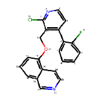 Fc1ccccc1-c1ccnc(Cl)c1COc1cccc2cnccc12